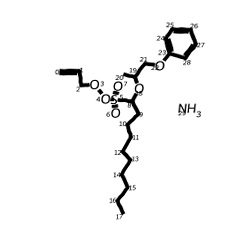 C=CCOOS(=O)(=O)C(CCCCCCCCC)OC(C)COc1ccccc1.N